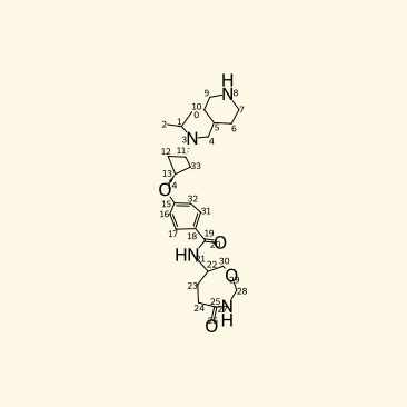 CC(C)N(CC1CCNCC1)[C@H]1C[C@H](Oc2ccc(C(=O)NC3CCC(=O)NCOC3)cc2)C1